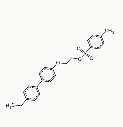 CCc1ccc(-c2ccc(OCCOS(=O)(=O)c3ccc(C)cc3)cc2)cc1